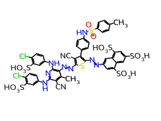 Cc1ccc(S(=O)(=O)Nc2ccc(-c3c(N=Nc4cc(S(=O)(=O)O)c5cc(S(=O)(=O)O)cc(S(=O)(=O)O)c5c4)sc(N=Nc4c(Nc5ccc(Cl)c(S(=O)(=O)O)c5)nc(Nc5ccc(Cl)c(S(=O)(=O)O)c5)c(C#N)c4C)c3C#N)cc2)cc1